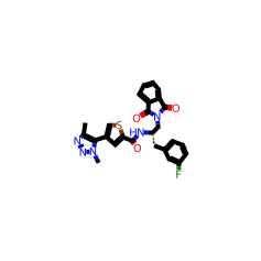 Cc1nnn(C)c1-c1csc(C(=O)N[C@@H](Cc2cccc(F)c2)CN2C(=O)c3ccccc3C2=O)c1